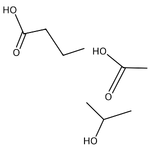 CC(=O)O.CC(C)O.CCCC(=O)O